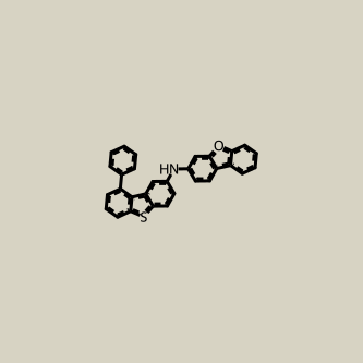 c1ccc(-c2cccc3sc4ccc(Nc5ccc6c(c5)oc5ccccc56)cc4c23)cc1